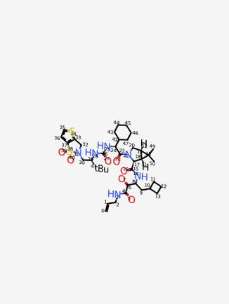 C=CCNC(=O)C(=O)C(CC1CCC1)NC(=O)[C@@H]1[C@@H]2[C@H](CN1C(=O)[C@@H](NC(=O)N[C@H](CN1Cc3sccc3S1(=O)=O)C(C)(C)C)C1CCCCC1)C2(C)C